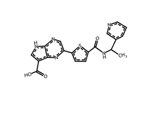 CC(NC(=O)c1ccc(-c2cnc3[nH]cc(C(=O)O)c3n2)s1)c1cccnc1